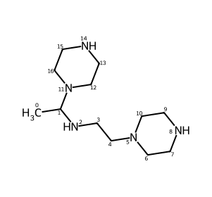 CC(NCCN1CCNCC1)N1CCNCC1